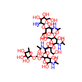 CNC1C(OC(CCO)/C(O)=C(/NC(C)=O)C(O)OC2C(CO)OC(OC(CCO)/C(O)=C(/NC(C)=O)C(O)OC3C(COCOC4OC(C)C(O)C(O)C4O)OC(O)C(NC(C)=O)C3O)C(NC(C)=O)C2O)OC(CO)C(O)C1O